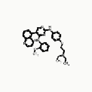 CCN(CC)CCOc1ccc(Nc2ncc(-c3cccc4ncccc34)c(Nc3ccccc3OC)n2)cc1